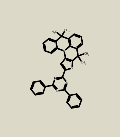 CC1(C)c2ccccc2N2c3cc(-c4nc(-c5ccccc5)nc(-c5ccccc5)n4)sc3C(C)(C)c3cccc1c32